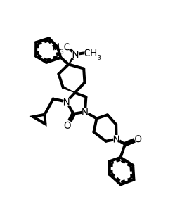 CN(C)[C@]1(c2ccccc2)CC[C@@]2(CC1)CN(C1CCN(C(=O)c3ccccc3)CC1)C(=O)N2CC1CC1